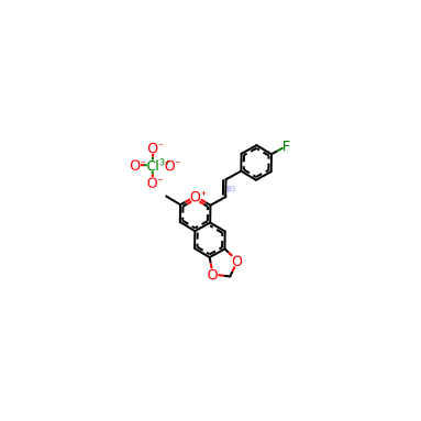 Cc1cc2cc3c(cc2c(/C=C/c2ccc(F)cc2)[o+]1)OCO3.[O-][Cl+3]([O-])([O-])[O-]